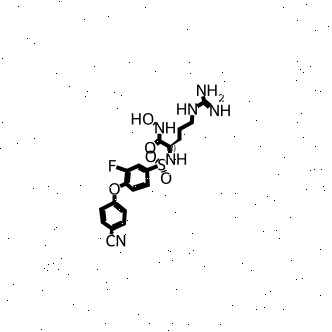 N#Cc1ccc(Oc2ccc(S(=O)(=O)N[C@H](CCCNC(=N)N)C(=O)NO)cc2F)cc1